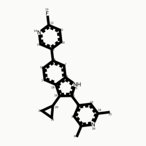 Cc1cc(-c2[nH]c3cc(-c4ccc(F)nc4)ccc3c2C2CC2)cc(C)n1